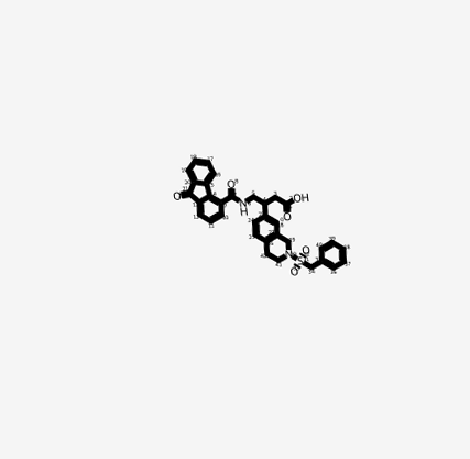 O=C(O)CC(CNC(=O)c1cccc2c1-c1ccccc1C2=O)c1ccc2c(c1)CN(S(=O)(=O)Cc1ccccc1)CC2